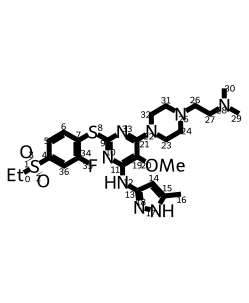 CCS(=O)(=O)c1ccc(Sc2nc(Nc3cc(C)[nH]n3)c(OC)c(N3CCN(CCN(C)C)CC3)n2)c(F)c1